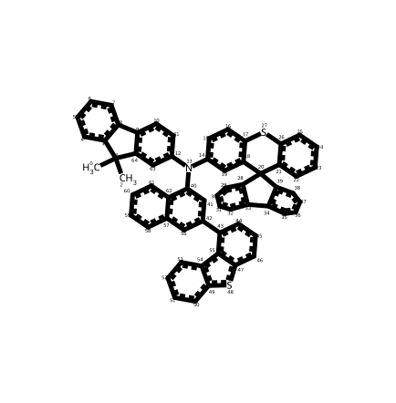 CC1(C)c2ccccc2-c2ccc(N(c3ccc4c(c3)C3(c5ccccc5S4)c4ccccc4-c4ccccc43)c3cc(-c4cccc5sc6ccccc6c45)cc4ccccc34)cc21